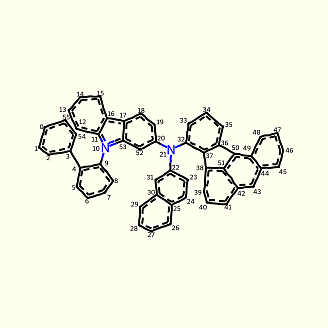 c1ccc(-c2ccccc2-n2c3ccccc3c3ccc(N(c4ccc5ccccc5c4)c4cccc5c4-c4cccc6cc7ccccc7c-5c46)cc32)cc1